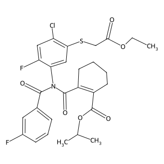 CCOC(=O)CSc1cc(N(C(=O)C2=C(C(=O)OC(C)C)CCCC2)C(=O)c2cccc(F)c2)c(F)cc1Cl